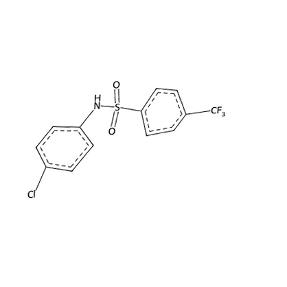 O=S(=O)(Nc1ccc(Cl)cc1)c1ccc(C(F)(F)F)cc1